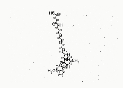 CC(=O)N1CCCC1C(=O)NC(CC(C)C)C(=O)NCCCOCCOCCOCCCNC(=O)CCC(=O)O